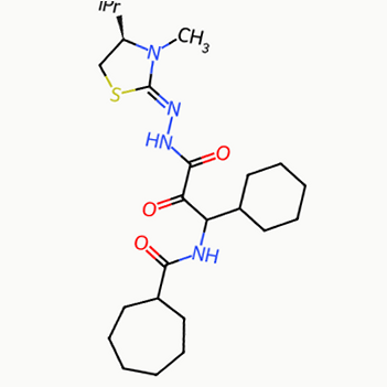 CC(C)[C@@H]1CSC(=NNC(=O)C(=O)C(NC(=O)C2CCCCCC2)C2CCCCC2)N1C